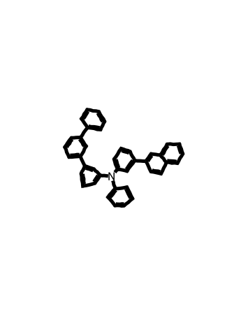 c1ccc(-c2cccc(-c3cccc(N(c4ccccc4)c4cccc(-c5ccc6ccccc6c5)c4)c3)c2)cc1